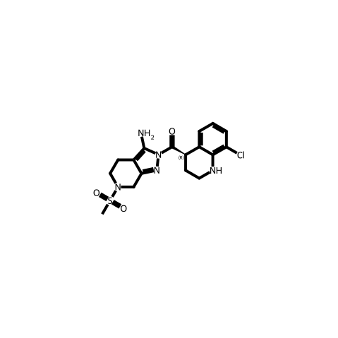 CS(=O)(=O)N1CCc2c(nn(C(=O)[C@@H]3CCNc4c(Cl)cccc43)c2N)C1